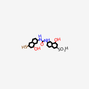 O=C(Nc1ccc2cc(S)cc(O)c2c1)Nc1ccc2cc(S(=O)(=O)O)cc(O)c2c1